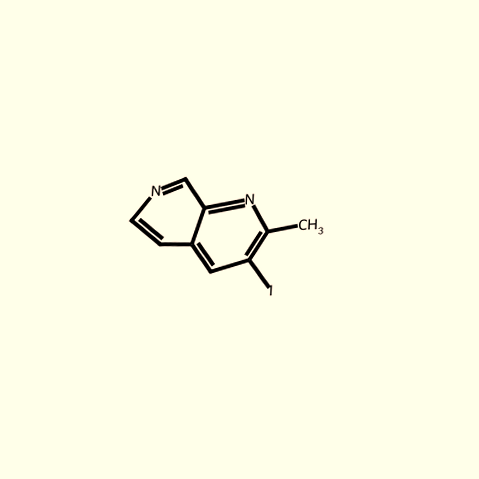 Cc1nc2cnccc2cc1I